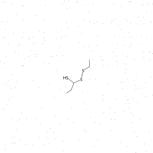 CCSSC(S)CC